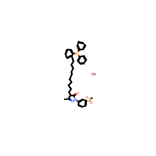 Br.CC1=NN(c2cccc(S(C)(=O)=O)c2)C(=O)C1CCCCCCCCCCc1ccccc1P(c1ccccc1)c1ccccc1